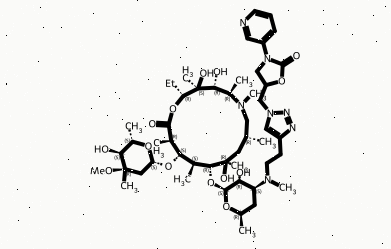 CC[C@H]1OC(=O)[C@H](C)[C@@H](O[C@@H]2C[C@@](C)(OC)[C@@H](O)[C@H](C)O2)[C@H](C)[C@@H](O[C@@H]2O[C@H](C)C[C@H](N(C)CCc3cn(CC4CN(c5cccnc5)C(=O)O4)nn3)[C@H]2O)[C@](C)(O)C[C@@H](C)CN(C)[C@H](C)[C@@H](O)[C@]1(C)O